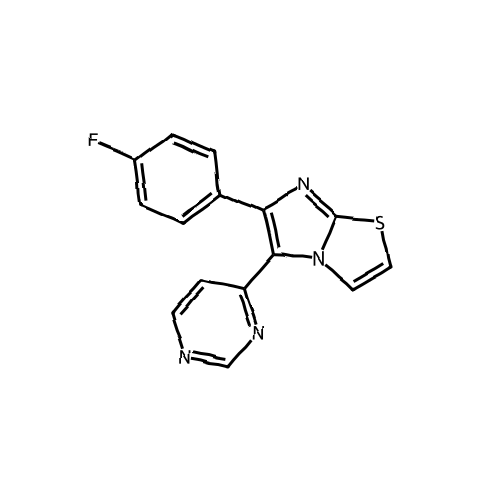 Fc1ccc(-c2nc3sccn3c2-c2ccncn2)cc1